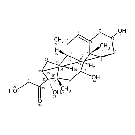 C.C[C@]12CC3C(O)CC1=CC[C@@H]1[C@@H]2C(O)C[C@@]2(C)[C@H]1CC3[C@]2(O)C(=O)CO